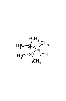 C[Si]1(C)[Si](C)(C)[Si]1(C)C